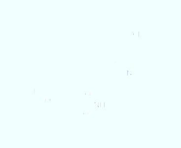 Cc1ccc2nc(-c3ccc(NS(=O)(=O)c4ccc(OC(F)(F)F)cc4)cc3)sc2c1